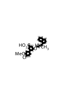 COc1cc(-c2cc(OCCN[C@H](C)c3cccc4ccccc34)cc(C(=O)O)c2)ccc1Cl